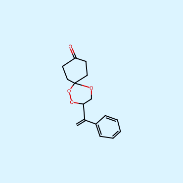 C=C(c1ccccc1)C1COC2(CCC(=O)CC2)OO1